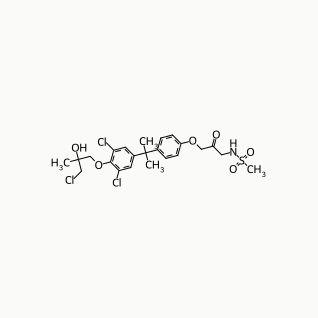 CC(O)(CCl)COc1c(Cl)cc(C(C)(C)c2ccc(OCC(=O)CNS(C)(=O)=O)cc2)cc1Cl